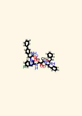 CC(NC(=O)C(Cc1ccccc1)NC(=O)Cc1ccccc1)C(=O)C(=O)NC(Cc1cccc(F)c1)C(=O)NC(Cc1ccc(-c2ccccc2)cc1)C(N)=O